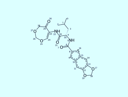 CC(C)C[C@H](NC(=O)c1cc2cc3c(cc2s1)OCO3)C(=O)NC1=COCOCC1=O